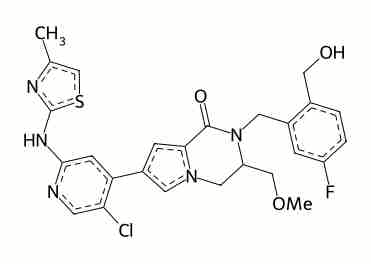 COCC1Cn2cc(-c3cc(Nc4nc(C)cs4)ncc3Cl)cc2C(=O)N1Cc1cc(F)ccc1CO